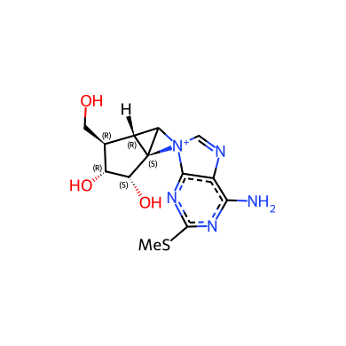 CSc1nc(N)c2c(n1)[N+]1(C=N2)C2[C@H]3[C@H](CO)[C@@H](O)[C@@H](O)[C@@]231